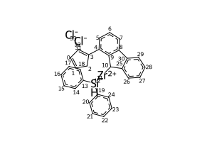 C1=CCC(c2cccc3c2[CH]([Zr+2][SiH](c2ccccc2)c2ccccc2)c2ccccc2-3)=C1.[Cl-].[Cl-]